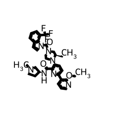 CCOc1ncccc1-c1ccc(N2CCN(C(=O)n3ccc4cccc(C(F)(F)F)c43)C[C@H]2CC)c(C(=O)N[C@@H]2CCN(C)C2)n1